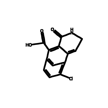 O=C1NCC=c2c1c(C(=O)O)c1ccc(Cl)c2c1